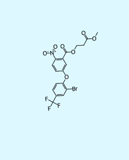 COC(=O)CCOC(=O)c1cc(Oc2ccc(C(F)(F)F)cc2Br)ccc1[N+](=O)[O-]